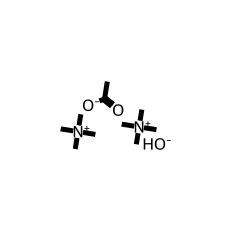 CC(=O)[O-].C[N+](C)(C)C.C[N+](C)(C)C.[OH-]